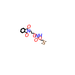 CS(C)(C)CCOC(=O)NOCCCN1C(=O)c2ccccc2C1=O